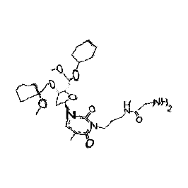 COC(OC1CCCCC1)[C@@H]1O[C@@H](n2cc(C)c(=O)n(CCCNC(=O)CN)c2=O)C[C@@H]1OC1(OC)CCCCC1